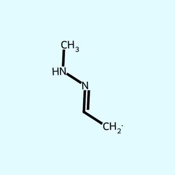 [CH2]/C=N/NC